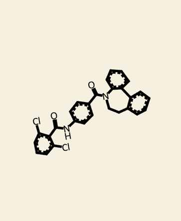 O=C(Nc1ccc(C(=O)N2CCc3ccccc3-c3ccccc32)cc1)c1c(Cl)cccc1Cl